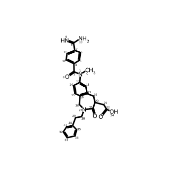 CN(C(=O)c1ccc(C(=N)N)cc1)c1ccc2c(c1)CC(CC(=O)O)C(=O)N(CCc1ccccc1)C2